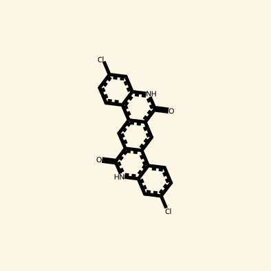 O=c1[nH]c2cc(Cl)ccc2c2cc3c(=O)[nH]c4cc(Cl)ccc4c3cc12